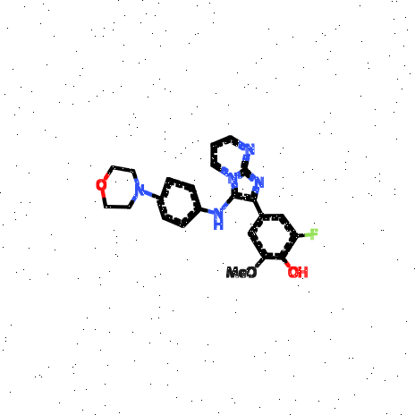 COc1cc(-c2nc3ncccn3c2Nc2ccc(N3CCOCC3)cc2)cc(F)c1O